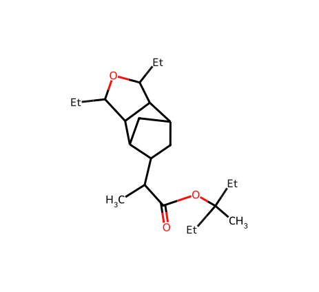 CCC1OC(CC)C2C3CC(CC3C(C)C(=O)OC(C)(CC)CC)C12